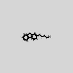 [N]CCCCc1ccc2c(c1)Cc1ccccc1-2